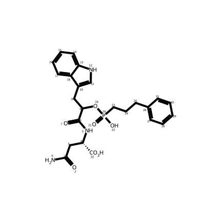 NC(=O)C[C@H](NC(=O)C(Cc1c[nH]c2ccccc12)OP(=O)(O)CCCc1ccccc1)C(=O)O